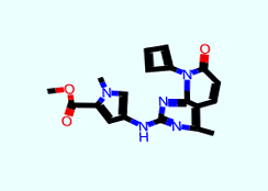 COC(=O)c1cc(Nc2nc(C)c3ccc(=O)n(C4=CC=C4)c3n2)cn1C